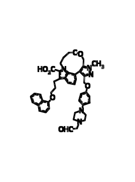 Cn1nc(COc2ccc(N3CCN(CC=O)CC3)cc2)c2c1COCCCCn1c(C(=O)O)c(CCCOc3cccc4ccccc34)c3cccc-2c31